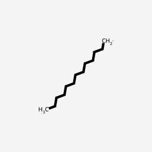 [CH2]C[CH]CCCCCCCCCC